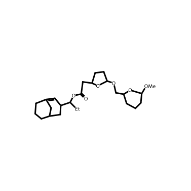 CCC(OC(=O)CC1CCC(OCC2CCCC(OC)O2)O1)C1C=C2CCCC(C2)C1